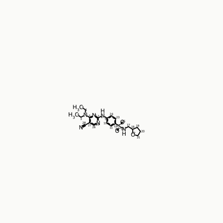 CCN(CC)c1nc(Nc2ccc(S(=O)(=O)NCC3CCCO3)cc2)ncc1C#N